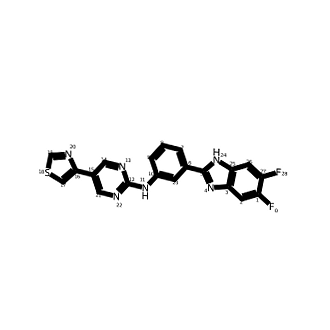 Fc1cc2nc(-c3cccc(Nc4ncc(-c5cscn5)cn4)c3)[nH]c2cc1F